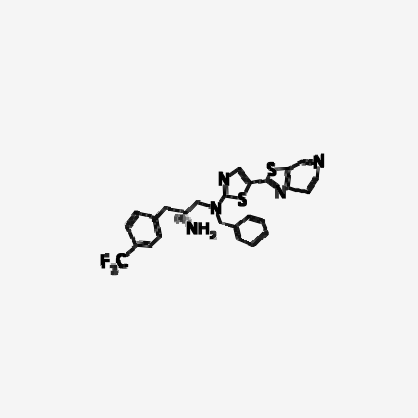 N[C@H](Cc1ccc(C(F)(F)F)cc1)CN(Cc1ccccc1)c1ncc(-c2nc3ccncc3s2)s1